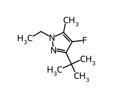 CCn1nc(C(C)(C)C)c(F)c1C